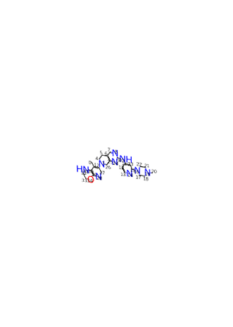 Cc1c(N2CCc3cnc(Nc4ccnc(N5CCN(C)CC5)c4)nc3C2)cnc2c1NCCO2